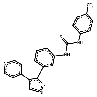 FC(F)(F)c1ccc(NC(=S)Nc2cccc(-c3n[nH]cc3-c3ccncc3)c2)cc1